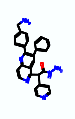 NCc1ccc(-c2nc3ccnc(C(C(=O)NN)c4ccncc4)c3cc2-c2ccccc2)cc1